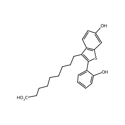 O=C(O)CCCCCCCCc1c(-c2ccccc2O)sc2cc(O)ccc12